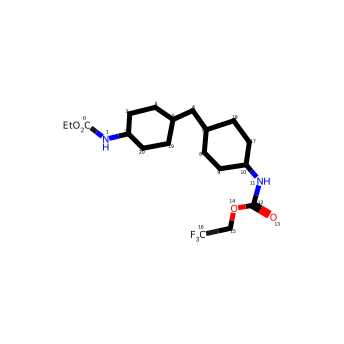 CCOC(=O)NC1CCC(CC2CCC(NC(=O)OCC(F)(F)F)CC2)CC1